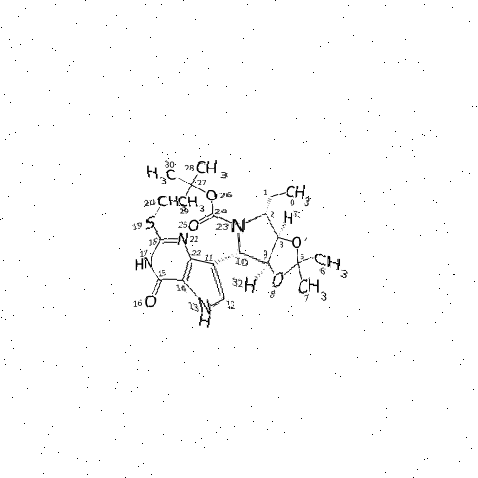 CC[C@@H]1[C@H]2OC(C)(C)O[C@H]2[C@H](c2c[nH]c3c(=O)[nH]c(SC)nc23)N1C(=O)OC(C)(C)C